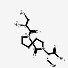 NC(=O)[C@H](CS)N1CCC2(CCCN2C(=O)[C@@H](N)CO)C1=O